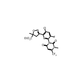 CCOC(=O)C1(C)CC(c2nc(-n3c(=O)cc(C(F)(F)F)n(C)c3=O)c(F)cc2Cl)=NO1